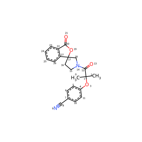 CC(C)(Oc1ccc(C#N)cc1)C(=O)N1CCC2(C1)OC(=O)c1ccccc12